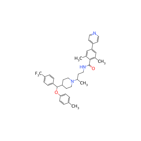 Cc1ccc(OC(c2ccc(C(F)(F)F)cc2)C2CCN(C(C)CCNC(=O)c3c(C)cc(-c4ccncc4)cc3C)CC2)cc1